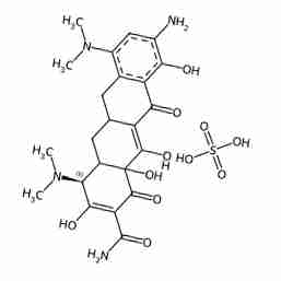 CN(C)c1cc(N)c(O)c2c1CC1CC3[C@H](N(C)C)C(O)=C(C(N)=O)C(=O)C3(O)C(O)=C1C2=O.O=S(=O)(O)O